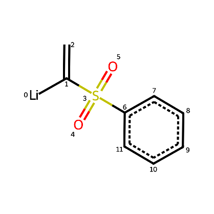 [Li][C](=C)S(=O)(=O)c1ccccc1